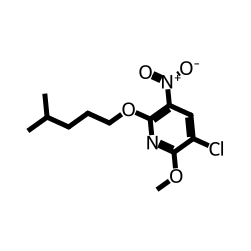 COc1nc(OCCCC(C)C)c([N+](=O)[O-])cc1Cl